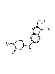 CN1CCN(C(=O)c2ccc3c(c2)cc(C(=O)O)n3C)CC1=O